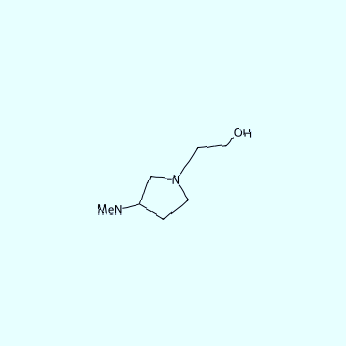 CNC1CCN(CCO)C1